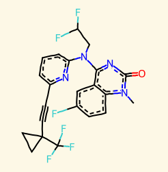 Cn1c(=O)nc(N(CC(F)F)c2cccc(C#CC3(C(F)(F)F)CC3)n2)c2cc(F)ccc21